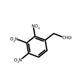 O=[C]Cc1ccc([N+](=O)[O-])c([N+](=O)[O-])c1[N+](=O)[O-]